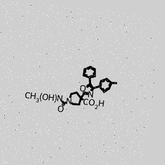 Cc1ccc(-c2nc(C3(C(=O)O)CCN(C(=O)N(C)O)CC3)oc2-c2ccccc2)cc1